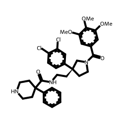 COc1cc(C(=O)N2CC[C@](CCNC(=O)C3(c4ccccc4)CCNCC3)(c3ccc(Cl)c(Cl)c3)C2)cc(OC)c1OC